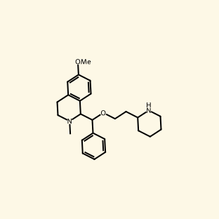 COc1ccc2c(c1)CCN(C)C2C(OCCC1CCCCN1)c1ccccc1